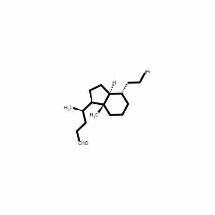 CC(C)CC[C@@H]1CCC[C@]2(C)[C@@H]([C@H](C)CCC=O)CC[C@@H]12